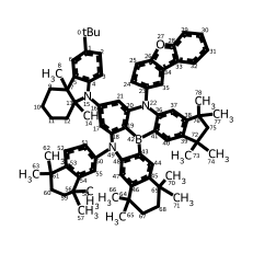 CC(C)(C)c1ccc2c(c1)C1(C)CCCCC1(C)N2c1cc2c3c(c1)N(c1ccc4oc5ccccc5c4c1)c1cc4c(cc1B3c1cc3c(cc1N2c1ccc2c(c1)C(C)(C)CCC2(C)C)C(C)(C)CCC3(C)C)C(C)(C)CC4(C)C